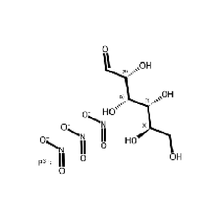 O=C[C@H](O)[C@@H](O)[C@H](O)[C@H](O)CO.O=N[O-].O=N[O-].O=N[O-].[P+3]